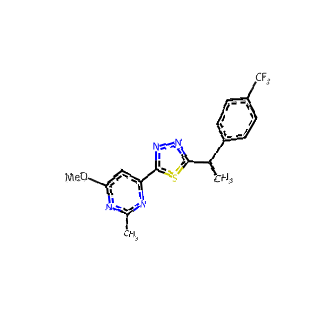 COc1cc(-c2nnc(C(C)c3ccc(C(F)(F)F)cc3)s2)nc(C)n1